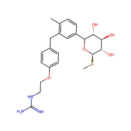 CS[C@H]1OC(c2ccc(C)c(Cc3ccc(OCCNC(=N)N)cc3)c2)[C@H](O)[C@@H](O)[C@@H]1O